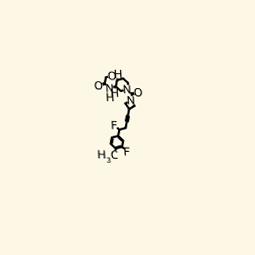 Cc1ccc(C(F)CC#CC2CN(C(=O)N3CC[C@@H]4OCC(=O)N[C@@H]4C3)C2)cc1F